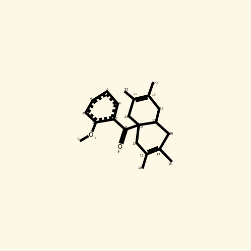 COc1ccccc1C(=O)C12CC(C)=C(C)CC1CC(C)=C(C)C2